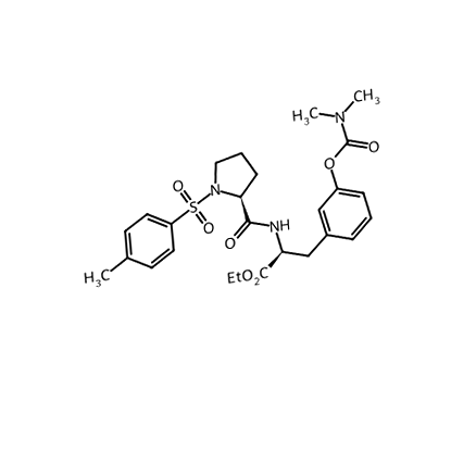 CCOC(=O)[C@H](Cc1cccc(OC(=O)N(C)C)c1)NC(=O)[C@@H]1CCCN1S(=O)(=O)c1ccc(C)cc1